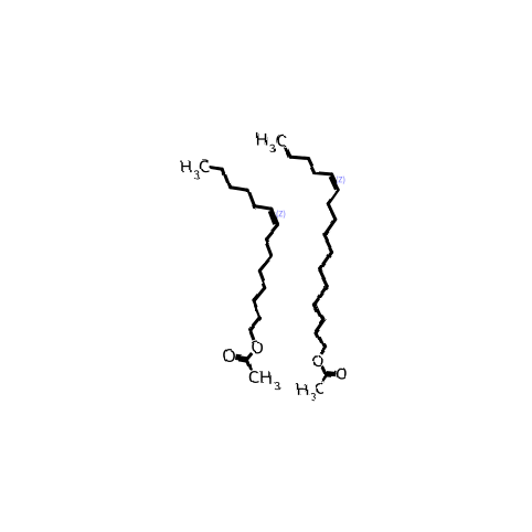 CCCC/C=C\CCCCCCCCCCOC(C)=O.CCCCC/C=C\CCCCCCCOC(C)=O